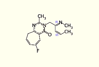 C/C=C\C(Cn1c(C)nc2c(c1=O)C=C(F)C=CC2)=N/C